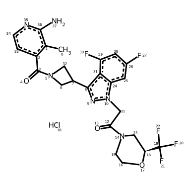 Cc1c(C(=O)N2CC(c3nn(CC(=O)N4CCO[C@H](C(F)(F)F)C4)c4cc(F)cc(F)c34)C2)ccnc1N.Cl